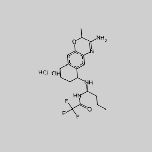 CCCC(NC(=O)C(F)(F)F)NC1CCCc2cc3c(cc21)N=C(N)C(C)O3.Cl.Cl